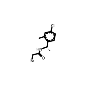 Cc1cc(Cl)ccc1[C@H](C)NC(=O)CBr